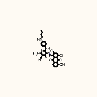 CCCCNc1ccc(Nc2nc(N)c(C#N)c(C)c2/N=N/c2c(Cl)cc(Cl)c3c2C(=O)c2cccc(O)c2C3=O)cc1